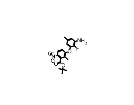 Cc1cc(N)c(F)c(Oc2ccc([N+](=O)[O-])c(C(=O)OC(C)(C)C)c2C)c1